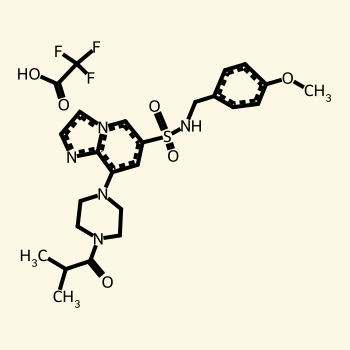 COc1ccc(CNS(=O)(=O)c2cc(N3CCN(C(=O)C(C)C)CC3)c3nccn3c2)cc1.O=C(O)C(F)(F)F